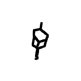 CC1CC2CC(=S)CC(C1)C2C